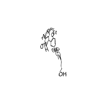 CCCN1CC2=C(C(=O)NC2c2cc(S(=O)(=O)N3CCN(CCCCO)CC3)ccc2OCC)N(C)C1